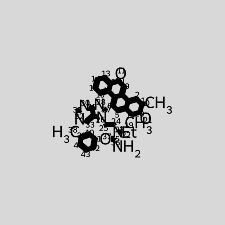 CC1C=c2c(ccc3c2=CC(=O)c2ccccc2-3)C(C)C1=O.CCN(CCn1cnc2ncncc21)C(N)=O.Cc1ccccc1